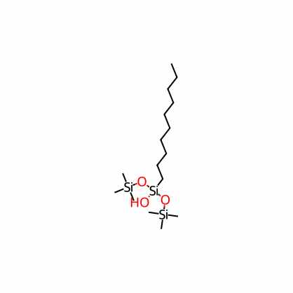 CCCCCCCCCC[Si](O)(O[Si](C)(C)C)O[Si](C)(C)C